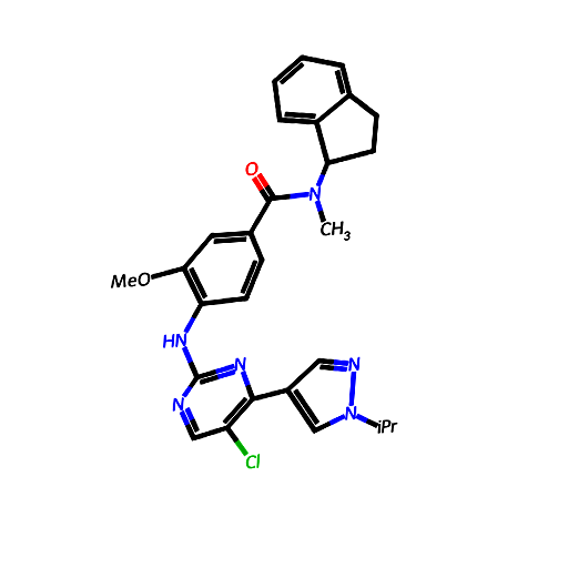 COc1cc(C(=O)N(C)C2CCc3ccccc32)ccc1Nc1ncc(Cl)c(-c2cnn(C(C)C)c2)n1